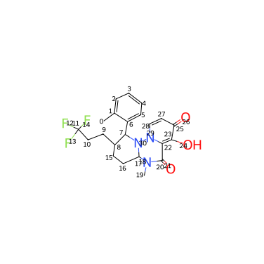 Cc1ccccc1C1C(CCC(F)(F)F)CCC2N(C)C(=O)c3c(O)c(=O)ccn3N12